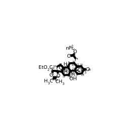 CCCOC(=O)C[C@H]1C[C@@H]2[C@H]([C@@H](O)C[C@@]3(C)[C@H]2CC[C@@]32OC(C)(C)O[C@@H]2C(=O)OCC)[C@@]2(C)CCC(=O)C=C12